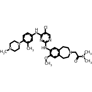 COc1cc2c(cc1Nc1ncc(Cl)c(Nc3ccc(N4CCN(C)CC4)c(C)c3)n1)CCN(CC(=O)N(C)C)CC2